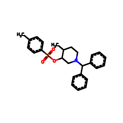 Cc1ccc(S(=O)(=O)OC2CN(C(c3ccccc3)c3ccccc3)CCC2C)cc1